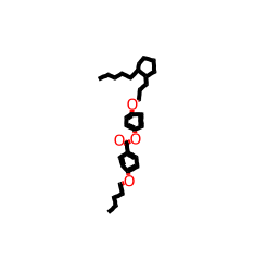 CCCCCOc1ccc(C(=O)Oc2ccc(OCCCC3CCCCC3CCCCC)cc2)cc1